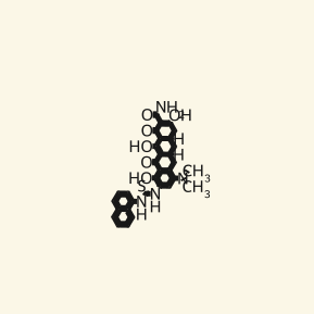 CN(C)c1cc(NC(=S)Nc2cccc3ccccc23)c(O)c2c1C[C@H]1C[C@H]3CC(O)=C(C(N)=O)C(=O)C3C(O)=C1C2=O